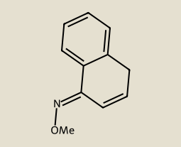 CON=C1C=CCc2ccccc21